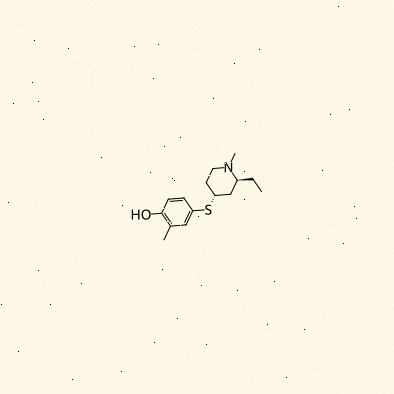 CC[C@H]1C[C@H](Sc2ccc(O)c(C)c2)CCN1C